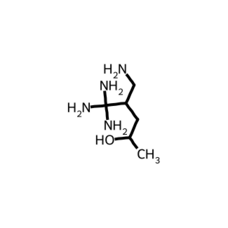 CC(O)CC(CN)C(N)(N)N